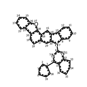 c1ccc(-c2nc(-n3c4ccccc4c4cc5c(ccc6c7ccccc7oc56)cc43)nc3ccccc23)cc1